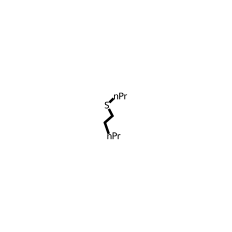 CCCCCSCCC